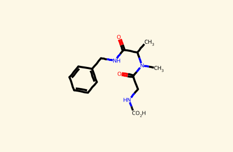 CC(C(=O)NCc1ccccc1)N(C)C(=O)CNC(=O)O